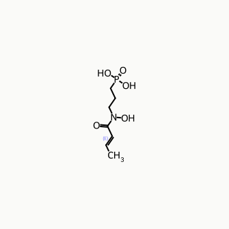 C/C=C/C(=O)N(O)CCCP(=O)(O)O